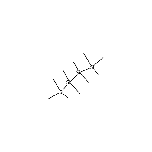 C[Si](C)(C)[Si](C)(C)[Si](C)(C)[Si](C)(C)C